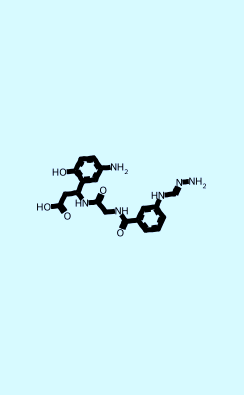 NN=CNc1cccc(C(=O)NCC(=O)NC(CC(=O)O)c2cc(N)ccc2O)c1